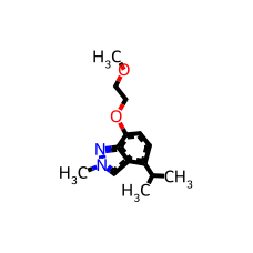 COCCOc1ccc(C(C)C)c2cn(C)nc12